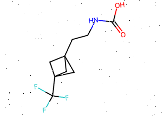 O=C(O)NCCC12CC(C(F)(F)F)(C1)C2